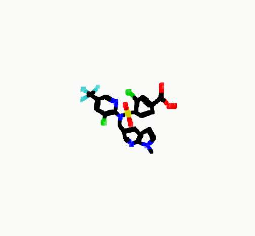 Cn1ccc2cc(CN(c3ncc(C(F)(F)F)cc3Cl)S(=O)(=O)c3ccc(C(=O)O)cc3Cl)cnc21